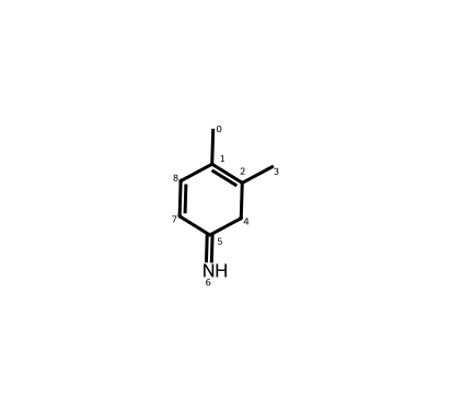 CC1=C(C)CC(=N)C=C1